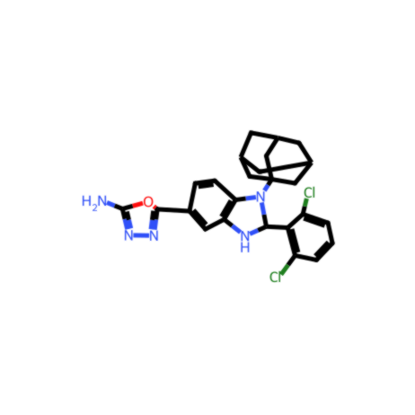 Nc1nnc(-c2ccc3c(c2)NC(c2c(Cl)cccc2Cl)N3C23CC4CC(CC(C4)C2)C3)o1